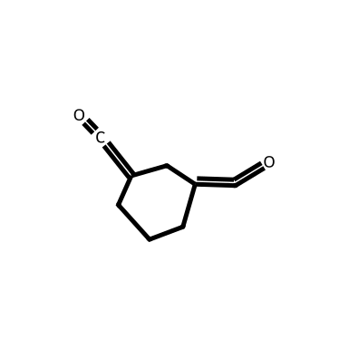 O=C=C1CCCC(=C=O)C1